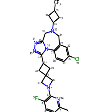 Cc1ccc(F)c(N2CC3(CC(c4nnc5n4-c4ccc(Cl)cc4CN(C4CC(C(F)(F)F)C4)C5)C3)C2)n1